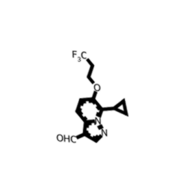 O=Cc1cnn2c(C3CC3)c(OCCC(F)(F)F)ccc12